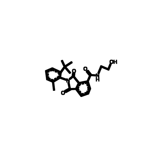 Cc1cccc(C(C)(C)C)c1N1C(=O)c2cccc(C(=O)NCCO)c2C1=O